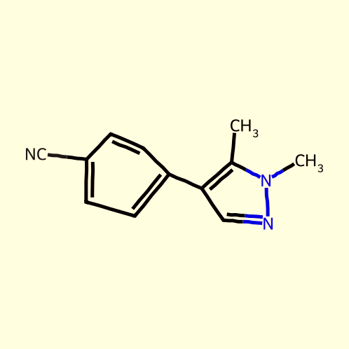 Cc1c(-c2ccc(C#N)cc2)cnn1C